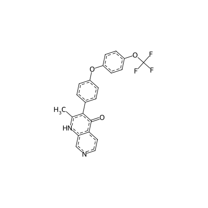 Cc1[nH]c2cnccc2c(=O)c1-c1ccc(Oc2ccc(OC(F)(F)F)cc2)cc1